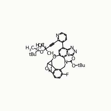 CC(C)(C)OC(=O)N1Cc2c(F)ccc3c2[C@@H]2C(O3)C2Oc2cc(-c3cccnc3C#CC(C)(C)O[Si](C)(C)C(C)(C)C)c3nncn3c21